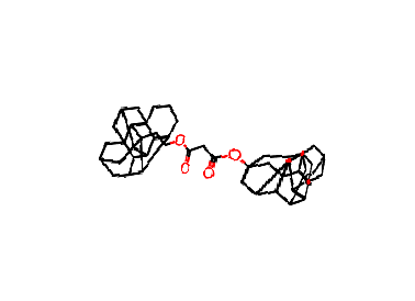 O=C(CC(=O)OC12CC3C4C5CC6CC78CC9CC(C57)C3C(C9)(C1)C8C4(C6)C2)OCCC12CC3CC4C1C1CCCC56CC7CC(C15)C4C(C7)(C3)C62